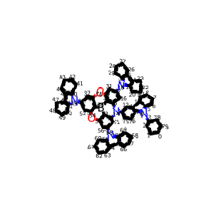 c1ccc(-n2c3ccccc3c3cc(N4c5cc(-n6c7ccccc7c7ccccc76)cc6c5B5c7c(cc(-n8c9ccccc9c9ccccc98)cc7Oc7cc(-n8c9ccccc9c9ccccc98)cc4c75)O6)ccc32)cc1